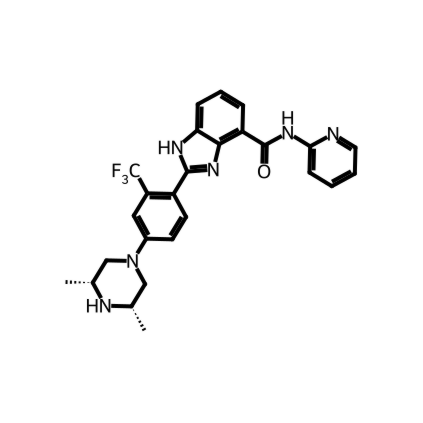 C[C@@H]1CN(c2ccc(-c3nc4c(C(=O)Nc5ccccn5)cccc4[nH]3)c(C(F)(F)F)c2)C[C@H](C)N1